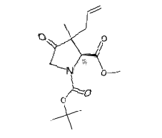 C=CCC1(C)C(=O)CN(C(=O)OC(C)(C)C)[C@@H]1C(=O)OC